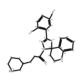 O=C(CCC1CCCNC1)N1N=C(c2cc(F)ccc2F)SC12CCOc1ccccc12